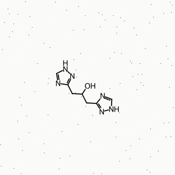 OC(Cc1nc[nH]n1)Cc1nc[nH]n1